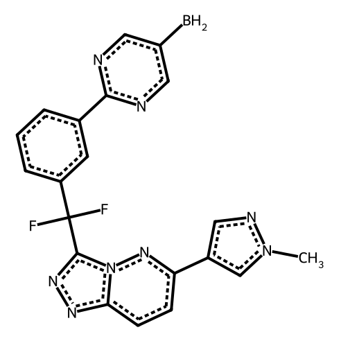 Bc1cnc(-c2cccc(C(F)(F)c3nnc4ccc(-c5cnn(C)c5)nn34)c2)nc1